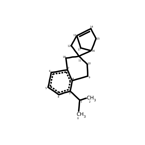 CC(C)c1cccc2c1CCC1(CC3=CCC1C3)C2